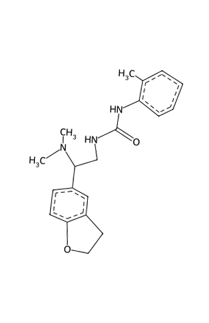 Cc1ccccc1NC(=O)NCC(c1ccc2c(c1)CCO2)N(C)C